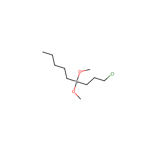 CCCCC[Si](CCCCl)(OC)OC